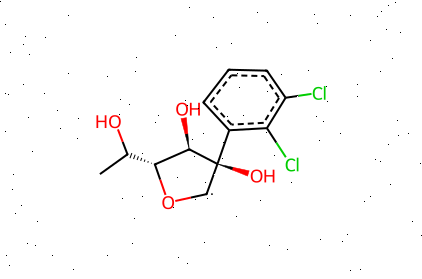 CC(O)[C@H]1O[CH][C@@](O)(c2cccc(Cl)c2Cl)[C@@H]1O